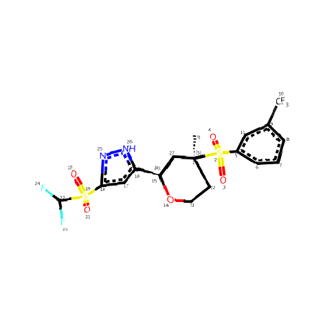 C[C@]1(S(=O)(=O)c2cccc(C(F)(F)F)c2)CCO[C@@H](c2cc(S(=O)(=O)C(F)F)n[nH]2)C1